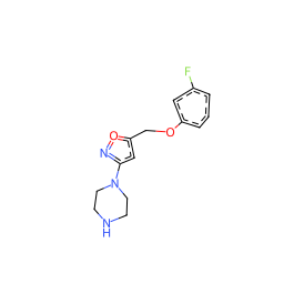 Fc1cccc(OCc2cc(N3CCNCC3)no2)c1